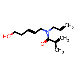 C=CCN(C/C=C/CCO)C(=O)C(=C)C